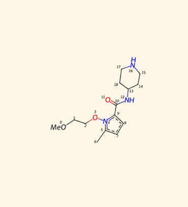 COCCOn1c(C)ccc1C(=O)NC1CCNCC1